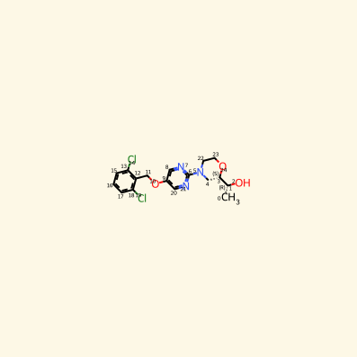 C[C@@H](O)[C@@H]1CN(c2ncc(OCc3c(Cl)cccc3Cl)cn2)CCO1